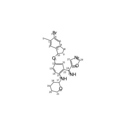 Cc1cc2c(cc1Br)CCC2Oc1ccc(NC2CCCCO2)c(C(=N)c2cnco2)c1